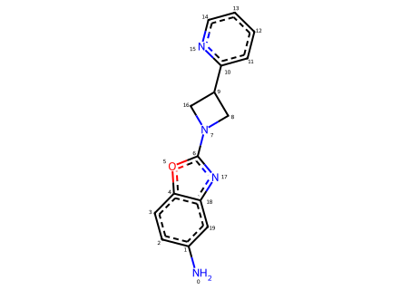 Nc1ccc2oc(N3CC(c4ccccn4)C3)nc2c1